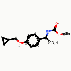 CC(C)(C)OC(=O)NC(C(=O)O)c1ccc(OCC2CC2)cc1